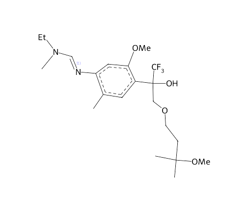 CCN(C)/C=N/c1cc(OC)c(C(O)(COCCC(C)(C)OC)C(F)(F)F)cc1C